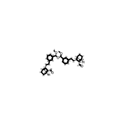 CO[C@H](O[C@@H](OC)c1cccc(CC[C@H]2C3CC[C@H](O3)[C@H]2C=O)c1)c1cccc(CC[C@@H]2C3CC[C@@H](O3)[C@@H]2C=O)c1